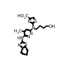 Cc1cc(N(CCCCO)c2nc(C(=O)O)cs2)nnc1Nc1nc2ccccc2s1